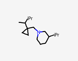 CC(C)C1CCCN(CC2(C(C)C(C)C)CC2)C1